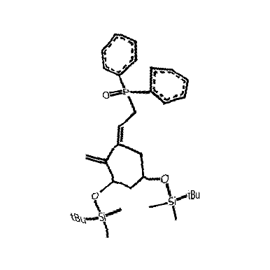 C=C1C(=CCP(=O)(c2ccccc2)c2ccccc2)CC(O[Si](C)(C)C(C)(C)C)CC1O[Si](C)(C)C(C)(C)C